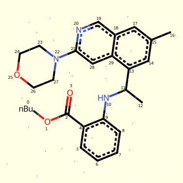 CCCCOC(=O)c1ccccc1NC(C)c1cc(C)cc2cnc(N3CCOCC3)cc12